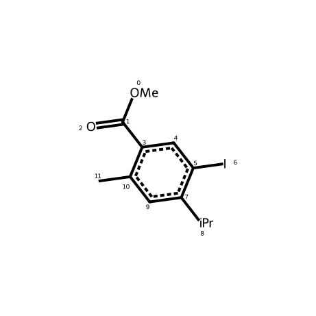 COC(=O)c1cc(I)c(C(C)C)cc1C